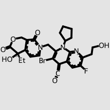 CC[C@@]1(O)C(=O)OCc2c1ccn(CC1=C(Br)C(=C=O)c3cc(F)c(CCO)nc3N1C1CCCC1)c2=O